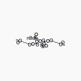 C=CC(=O)OCCCCCCOc1ccc(C(=O)Oc2cc(/C=N/N(CCCC)c3ccccc3)c(OC(=O)c3ccc(OCCCCCCOC(=O)C=C)cc3)cc2/C=N/N(C)c2ccccc2)cc1